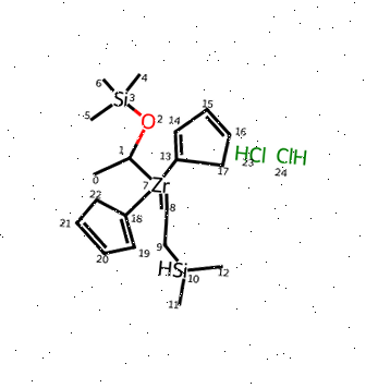 C[CH](O[Si](C)(C)C)[Zr](=[CH]C[SiH](C)C)([C]1=CC=CC1)[C]1=CC=CC1.Cl.Cl